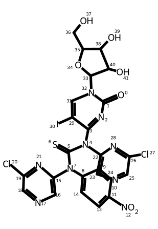 O=c1nc(N(C(=S)N(c2ccc([N+](=O)[O-])cc2)c2cncc(Cl)n2)c2cncc(Cl)n2)c(I)cn1C1OC(CO)C(O)C1O